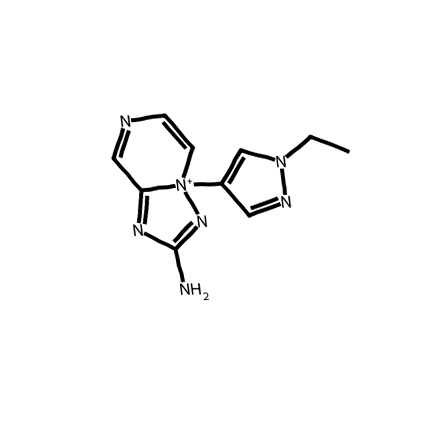 CCn1cc([N+]23C=CN=CC2=NC(N)=N3)cn1